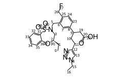 CC[C@@H]1CN(Cc2cc(C(CCc3cn(CC)nn3)CC(=O)O)ccc2CF)S(=O)(=O)c2ccccc2O1